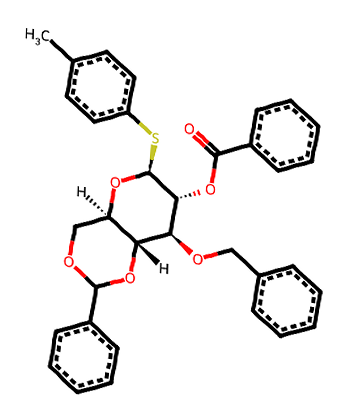 Cc1ccc(S[C@@H]2O[C@@H]3COC(c4ccccc4)O[C@H]3[C@H](OCc3ccccc3)[C@H]2OC(=O)c2ccccc2)cc1